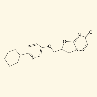 O=c1ccn2c(n1)OC(COc1ccc(C3CCCCC3)nc1)C2